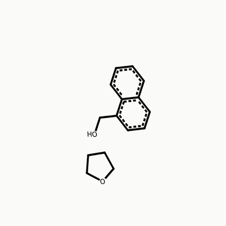 C1CCOC1.OCc1cccc2ccccc12